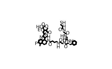 CC[C@@]1(O)C(=O)OCc2c1cc1n(c2=O)Cc2c-1nc1cc(F)c(C)c3c1c2[C@@H](NC(=O)CCCNC(=O)CNC(=O)[C@H](Cc1ccccc1)NC(=O)CNC(=O)CNC(=O)CCS)CC3